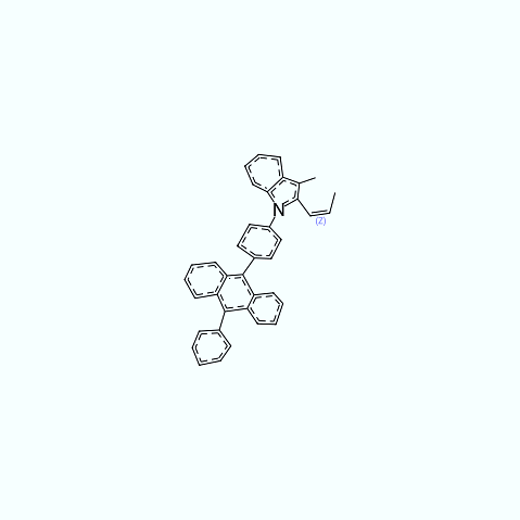 C/C=C\c1c(C)c2ccccc2n1-c1ccc(-c2c3ccccc3c(-c3ccccc3)c3ccccc23)cc1